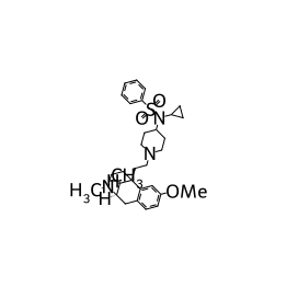 COc1ccc2c(c1)[C@@]1(CCN3CCC(N(C4CC4)S(=O)(=O)c4ccccc4)CC3)CCN(C)[C@H](C2)[C@@H]1C